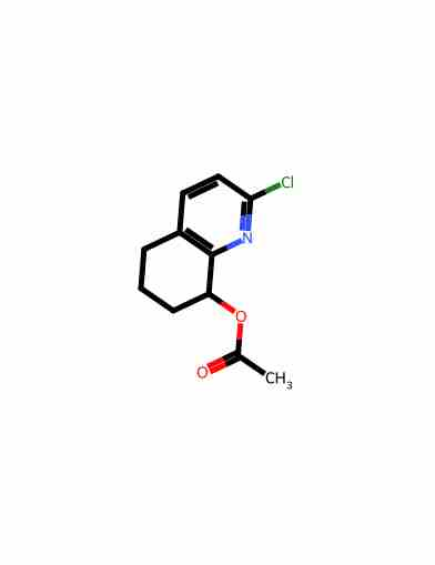 CC(=O)OC1CCCc2ccc(Cl)nc21